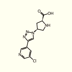 O=C(O)[C@@H]1C[C@H](n2cc(-c3cncc(Cl)c3)nn2)CN1